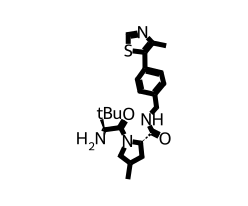 Cc1ncsc1-c1ccc(CNC(=O)[C@@H]2CC(C)CN2C(=O)[C@@H](N)C(C)(C)C)cc1